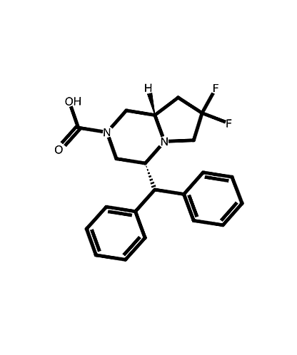 O=C(O)N1C[C@@H]2CC(F)(F)CN2[C@H](C(c2ccccc2)c2ccccc2)C1